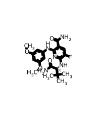 COc1cc(Nc2nc(N[C@@H](C(N)=O)C(C)(C)C)c(F)cc2C(N)=O)cc(OC)c1